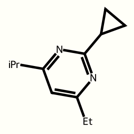 CCc1cc(C(C)C)nc(C2CC2)n1